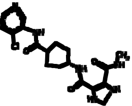 CNC(=O)C1=C(C(=O)N[C@H]2CC[C@H](C(=O)Nc3cnccc3Cl)CC2)NCN1